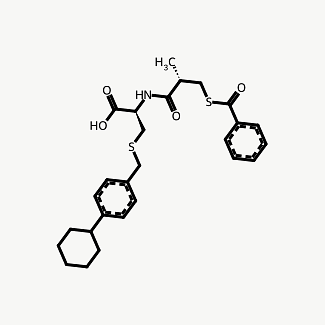 C[C@H](CSC(=O)c1ccccc1)C(=O)N[C@@H](CSCc1ccc(C2CCCCC2)cc1)C(=O)O